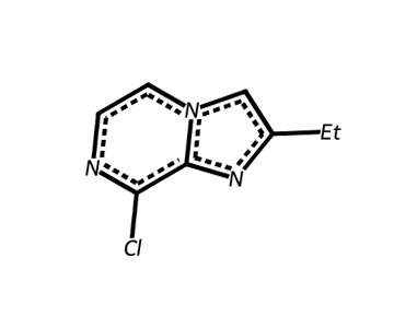 CCc1cn2ccnc(Cl)c2n1